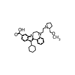 COC[C@@H]1CCCN1CCN1CCn2c(c(C3CCCCC3)c3ccc(C(=O)O)cc32)-c2ccccc21